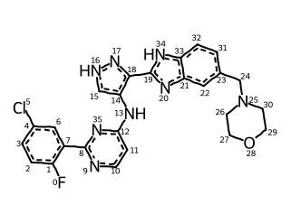 Fc1ccc(Cl)cc1-c1nccc(Nc2c[nH]nc2-c2nc3cc(CN4CCOCC4)ccc3[nH]2)n1